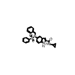 O=C(NC1CC1)c1cc2cc(N(Cc3ccccc3)S(=O)(=O)c3ccccc3)ccc2[nH]1